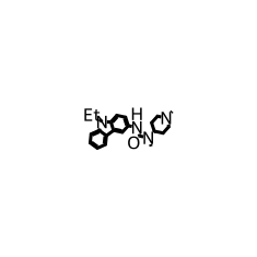 CCn1c2ccccc2c2cc(NC(=O)N(C)C3CCN(C)CC3)ccc21